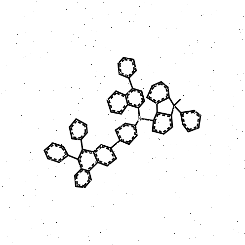 CC1(c2ccccc2)c2ccccc2-c2c(N(c3ccc(-c4ccc5c(c4)c(-c4ccccc4)c(-c4ccccc4)c4ccccc45)cc3)c3ccc(-c4ccccc4)c4ccccc34)cccc21